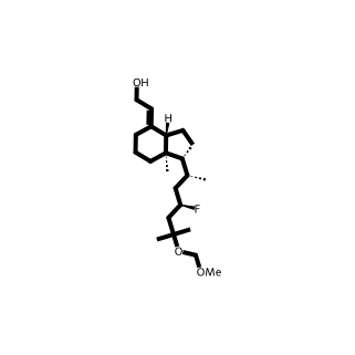 COCOC(C)(C)C[C@H](F)C[C@@H](C)[C@H]1CC[C@H]2C(=CCO)CCC[C@]12C